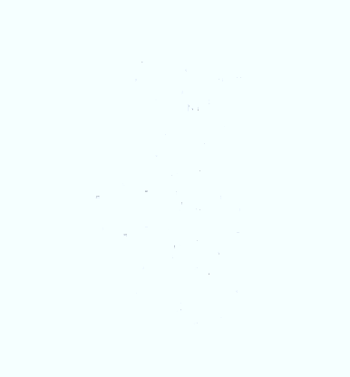 c1ccc(N(c2ccccc2)c2ccc(C3=C4C(=C(c5cccc6ccccc56)c5ccccc54)c4ccccc43)cc2)cc1